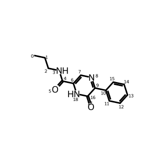 CCCNC(=O)c1cnc(-c2ccccc2)c(=O)[nH]1